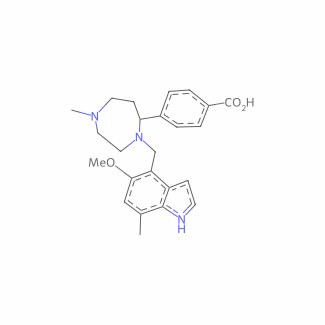 COc1cc(C)c2[nH]ccc2c1CN1CCN(C)CCC1c1ccc(C(=O)O)cc1